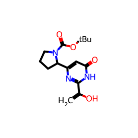 C=C(O)c1nc(C2CCCN2C(=O)OC(C)(C)C)cc(=O)[nH]1